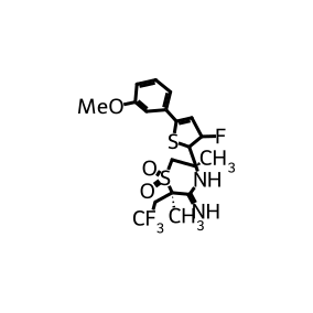 COc1cccc(C2=CC(F)C([C@]3(C)CS(=O)(=O)[C@](C)(CC(F)(F)F)C(=N)N3)S2)c1